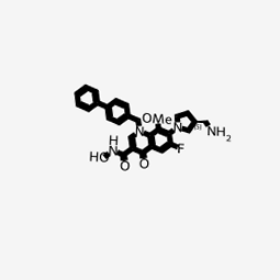 COc1c(N2CC[C@@H](CN)C2)c(F)cc2c(=O)c(C(=O)NO)cn(Cc3ccc(-c4ccccc4)cc3)c12